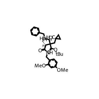 COc1ccc(CNC(=O)[C@H](CC(C)C)C(CC2(C)CC2)(C(=O)NCc2ccccc2)C(=O)OC(C)(C)C)c(OC)c1